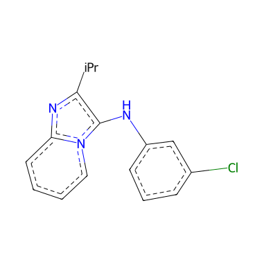 CC(C)c1nc2ccccn2c1Nc1cccc(Cl)c1